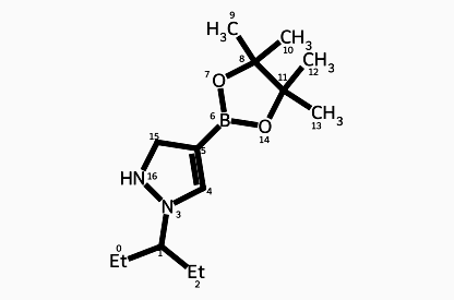 CCC(CC)N1C=C(B2OC(C)(C)C(C)(C)O2)CN1